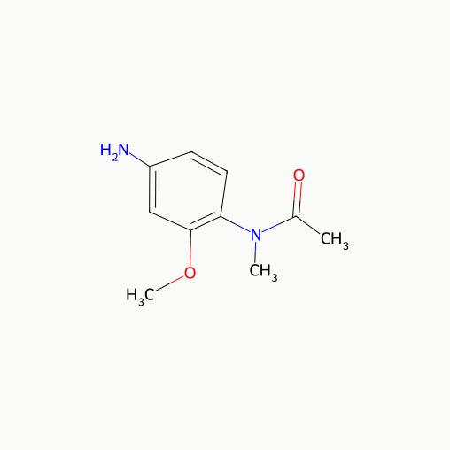 COc1cc(N)ccc1N(C)C(C)=O